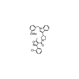 COc1cccc(Cn2cc(C3CCN(C(=O)c4c(-c5ccccc5Cl)noc4C)C3)c3ccccc32)c1